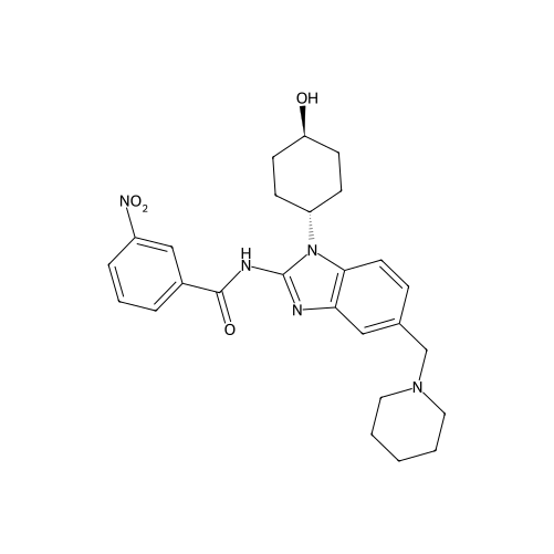 O=C(Nc1nc2cc(CN3CCCCC3)ccc2n1[C@H]1CC[C@H](O)CC1)c1cccc([N+](=O)[O-])c1